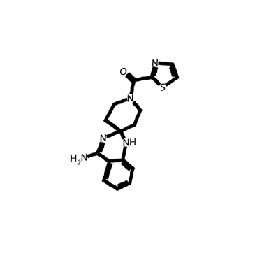 NC1=NC2(CCN(C(=O)c3nccs3)CC2)Nc2ccccc21